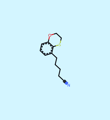 N#CCCCCc1cccc2c1SCCO2